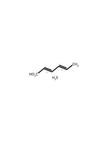 C/C=C/C=C/C(=O)O.S